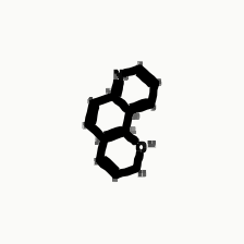 C1=Cc2ccc3ncccc3c2OC1